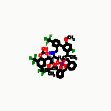 COc1cc(F)c(C(C)C)cc1-c1ccc(C(F)(F)F)cc1CNC(COP(=O)(OCc1ccccc1)OCc1ccccc1)[C@H](C(=O)OC(C)(C)C)[C@@H](OC(=O)O)c1cc(C(F)(F)F)cc(C(F)(F)F)c1